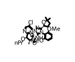 CCCO[C@@H](c1ncc(Cl)cn1)[C@H](C)S(=O)(=O)Nc1nnc([C@@H]2CCC(C)(C)O2)n1-c1c(OC)cccc1OC